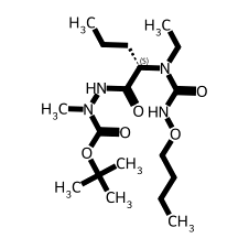 CCCCONC(=O)N(CC)[C@@H](CCC)C(=O)NN(C)C(=O)OC(C)(C)C